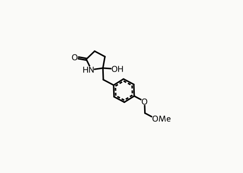 COCOc1ccc(CC2(O)CCC(=O)N2)cc1